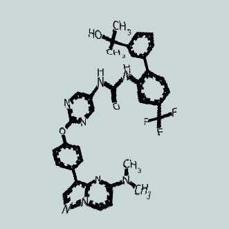 CN(C)c1ccn2ncc(-c3ccc(Oc4ncc(NC(=O)Nc5cc(C(F)(F)F)ccc5-c5cccc(C(C)(C)O)c5)cn4)cc3)c2n1